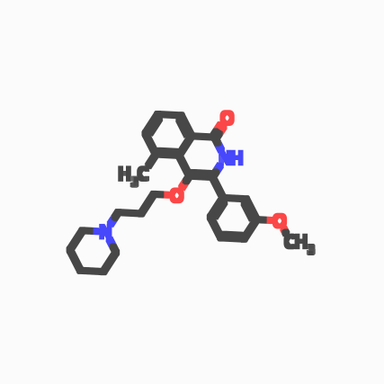 COc1cccc(-c2[nH]c(=O)c3cccc(C)c3c2OCCCN2CCCCC2)c1